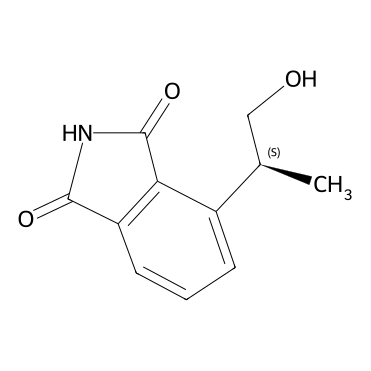 C[C@H](CO)c1cccc2c1C(=O)NC2=O